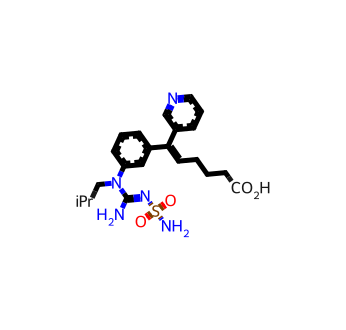 CC(C)CN(C(N)=NS(N)(=O)=O)c1cccc(C(=CCCCC(=O)O)c2cccnc2)c1